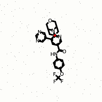 O=C(Nc1ccc(OC(F)(F)F)cc1)c1cnc(N2C3COCC2COC3)c(-c2cncnc2)c1